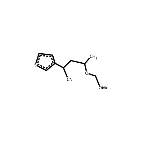 COCOC(C)CC(C#N)c1ccsc1